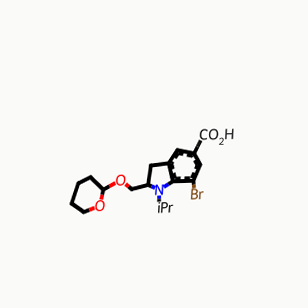 CC(C)N1c2c(Br)cc(C(=O)O)cc2CC1COC1CCCCO1